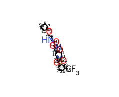 O=C(NCCOc1ccccc1)OC1=NOC2(CCN(S(=O)(=O)c3cccc(C(F)(F)F)c3)CC2)C1